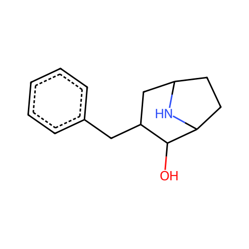 OC1C(Cc2ccccc2)CC2CCC1N2